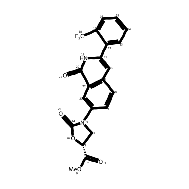 COC(=O)[C@H]1CN(c2ccc3cc(-c4ccccc4C(F)(F)F)[nH]c(=O)c3c2)C(=O)O1